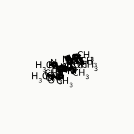 Cn1cc(-c2cn3nccc3c(N3CCC(C)(CN(C(=O)O)C(C)(C)C)C3)n2)cn1.Cn1cc(-c2cn3nccc3c(N3CCC(C)(CNC(=O)OC(C)(C)C)C3)n2)cn1